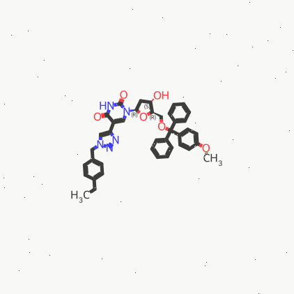 CCc1ccc(Cn2cc(-c3cn([C@H]4C[C@H](O)[C@@H](COC(c5ccccc5)(c5ccccc5)c5ccc(OC)cc5)O4)c(=O)[nH]c3=O)nn2)cc1